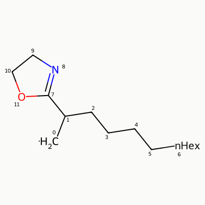 [CH2]C(CCCCCCCCCC)C1=NCCO1